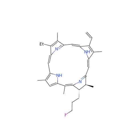 C=Cc1c(C)c2cc3nc(c(C)c4cc(C)c(cc5nc(cc1[nH]2)C(C)=C5CC)[nH]4)[C@@H](CCCI)[C@@H]3C